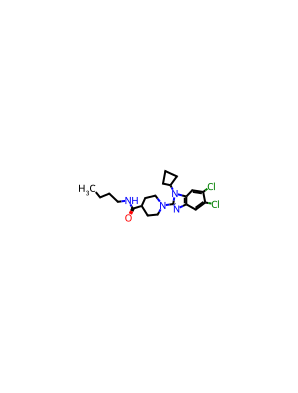 CCCCNC(=O)C1CCN(c2nc3cc(Cl)c(Cl)cc3n2C2CCC2)CC1